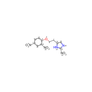 O=[N+]([O-])c1ccc(OCCc2cnc([N+](=O)[O-])[nH]2)c([N+](=O)[O-])c1